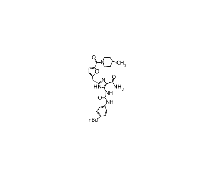 CCCCc1ccc(NC(=O)Nc2[nH]c(Cc3ccc(C(=O)N4CCC(C)CC4)o3)nc2C(N)=O)cc1